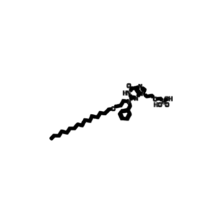 CCCCCCCCCCCCCCCCOCCCN(Cc1ccccc1)c1nc2c(ncn2CCOCP(=O)(O)O)c(=O)[nH]1